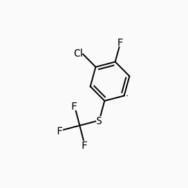 Fc1c[c]c(SC(F)(F)F)cc1Cl